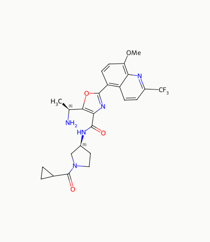 COc1ccc(-c2nc(C(=O)N[C@H]3CCN(C(=O)C4CC4)C3)c([C@H](C)N)o2)c2ccc(C(F)(F)F)nc12